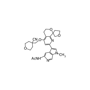 CC(=O)Nc1cc2c(-c3cc(OCC4(C#N)CCOCC4)c4c(n3)C3(CCOC3)OCC4)cn(C)c2cn1